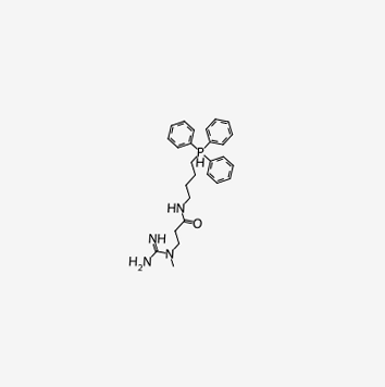 CN(CCC(=O)NCCCC[PH](c1ccccc1)(c1ccccc1)c1ccccc1)C(=N)N